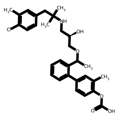 Cc1cc(CC(C)(C)NC[C@@H](O)COC(C)c2ccccc2-c2ccc(OC(=O)O)c(C)c2)ccc1Cl